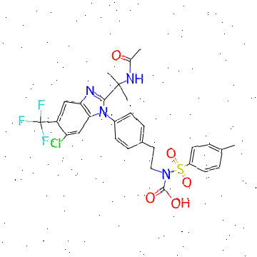 CC(=O)NC(C)(C)c1nc2cc(C(F)(F)F)c(Cl)cc2n1-c1ccc(CCN(C(=O)O)S(=O)(=O)c2ccc(C)cc2)cc1